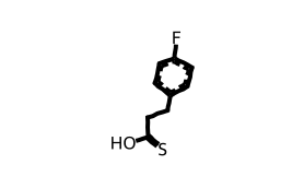 OC(=S)CCc1ccc(F)cc1